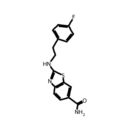 NC(=O)c1ccc2nc(NCCc3ccc(F)cc3)sc2c1